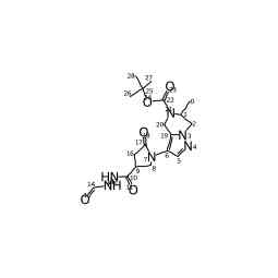 CC1Cn2ncc(N3CC(C(=O)NNC=O)CC3=O)c2CN1C(=O)OC(C)(C)C